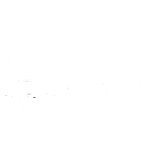 COCC(=O)N[C@@H](CSC/C=C(\C)CC/C=C(\C)CCC=C(C)C)C(=O)O